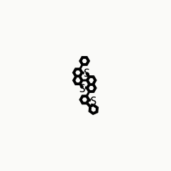 c1ccc(-c2ccc3ccc4sc5c(-c6cccc7c6sc6ccccc67)ccc6ccc7sc2c3c4-c7c65)cc1